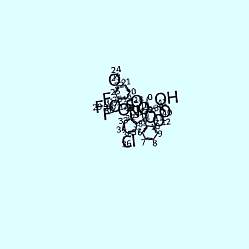 CC[C@H](OC1(c2ccccc2OC)C(=O)N(S(=O)(=O)c2ccc(OC)cc2OC(F)(F)F)c2ccc(Cl)cc21)C(=O)O